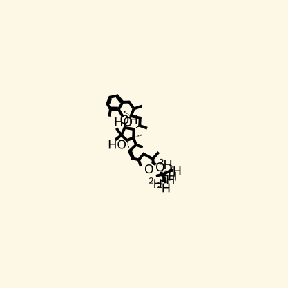 [2H]C([2H])([2H])C(C)(OC(=O)C(C)CC(C)/C=C\C(C)[C@]1(C)[C@@H](C(C)C[C@@](C)(O)C(C)Cc2cccc(C)c2C)[C@H](O)C(C)(C)[C@]1(C)O)C([2H])([2H])[2H]